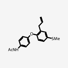 C=CCc1cc(SC)ccc1Oc1ccc(NC(C)=O)cc1